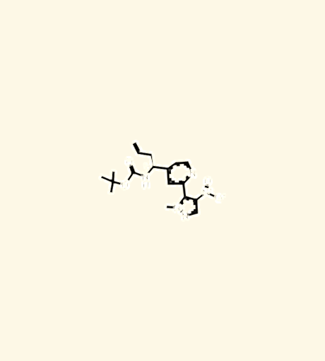 C=CC[C@H](NC(=O)OC(C)(C)C)c1ccnc(-c2c([N+](=O)[O-])cnn2C)c1